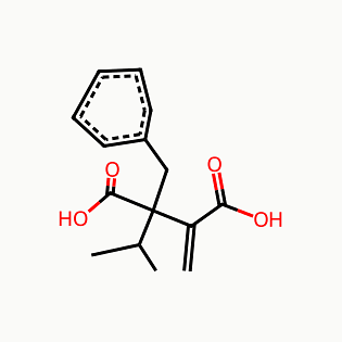 C=C(C(=O)O)C(Cc1ccccc1)(C(=O)O)C(C)C